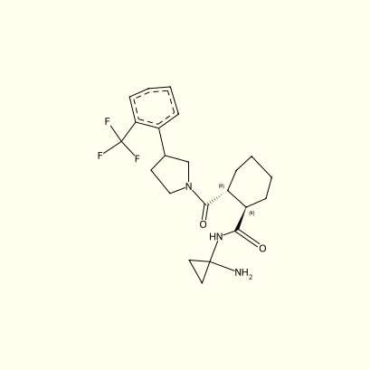 NC1(NC(=O)[C@@H]2CCCC[C@H]2C(=O)N2CCC(c3ccccc3C(F)(F)F)C2)CC1